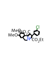 CCOC(=O)c1c(-c2cccc(Cl)c2)c(C(=O)OCC)n2c1-c1cc(OC)c(OC)cc1CC2